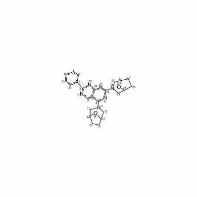 c1ccc(-c2ncc3c(N4CC5CCC(C4)O5)nc(N4CC5CCC(C4)O5)nc3n2)cc1